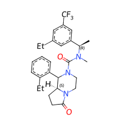 CCc1cc([C@@H](C)N(C)C(=O)N2CCN3C(=O)CC[C@H]3C2c2ccccc2CC)cc(C(F)(F)F)c1